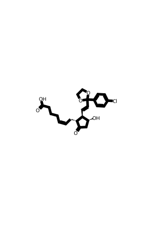 O=C(O)CCC/C=C\C[C@H]1C(=O)C[C@@H](O)[C@@H]1/C=C/C1(c2ccc(Cl)cc2)OCCO1